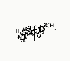 COc1ccc(C(=O)c2[nH]c(CC(C)(c3cccnc3)S(N)(=O)=O)cc2C)cc1